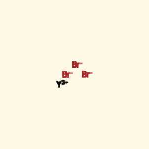 [Br-].[Br-].[Br-].[Y+3]